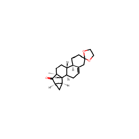 C[C@]12CC[C@H]3[C@@H](CC=C4CC5(CC[C@@H]43)OCCO5)[C@@H]1[C@H]1C[C@H]1C2=O